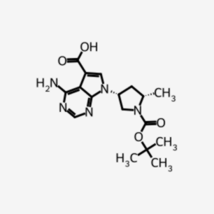 C[C@H]1C[C@@H](n2cc(C(=O)O)c3c(N)ncnc32)CN1C(=O)OC(C)(C)C